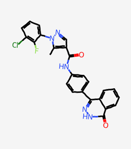 Cc1c(C(=O)Nc2ccc(-c3n[nH]c(=O)c4ccccc34)cc2)cnn1-c1cccc(Cl)c1F